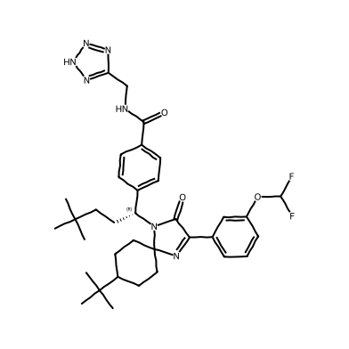 CC(C)(C)CC[C@H](c1ccc(C(=O)NCc2nn[nH]n2)cc1)N1C(=O)C(c2cccc(OC(F)F)c2)=NC12CCC(C(C)(C)C)CC2